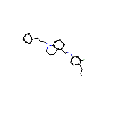 O=CCCc1ccc(NCc2cccc3c2CCCN3CCCc2ccccc2)cc1F